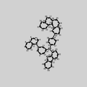 c1cc(-c2cccc3ccccc23)cc(N(c2ccc(-c3ccc4ccc5ccc6ccccc6c5c4c3)cc2)c2cccc3c2sc2ccccc23)c1